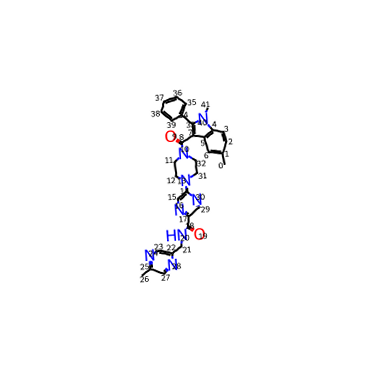 Cc1ccc2c(c1)c(C(=O)N1CCN(c3cnc(C(=O)NCc4cnc(C)cn4)cn3)CC1)c(-c1ccccc1)n2C